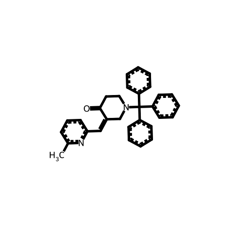 Cc1cccc(/C=C2/CN(C(c3ccccc3)(c3ccccc3)c3ccccc3)CCC2=O)n1